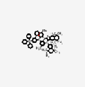 Cc1cc2c3c(c1)N(c1ccc4c(c1)C(C)(C)CCC4(C)C)c1c(sc4cc5c(cc14)C(C)(C)CCC5(C)C)B3c1cc(C(C)(C)C)ccc1N2c1ccc([Si](c2ccccc2)(c2ccccc2)c2ccccc2)cc1-c1ccccc1